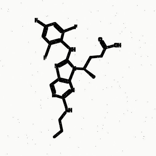 CCCNc1ncc2nc(Nc3c(F)cc(F)cc3F)n([C@H](C)CCC(=O)O)c2n1